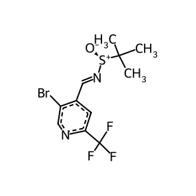 CC(C)(C)[S@+]([O-])N=Cc1cc(C(F)(F)F)ncc1Br